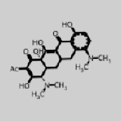 CC(=O)C1=C(O)[C@@H](N(C)C)C2CC3Cc4c(N(C)C)ccc(O)c4C(=O)C3=C(O)[C@]2(O)C1=O